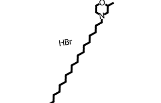 Br.CCCCCCCCCCCCCCCCCCN1CCOC(C)C1